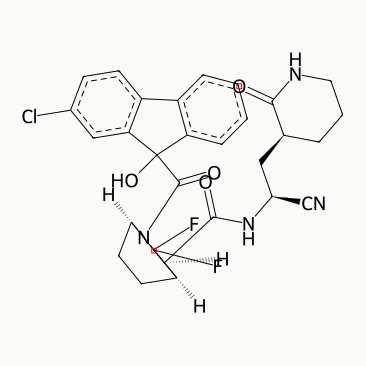 N#C[C@H](C[C@@H]1CCCNC1=O)NC(=O)[C@H]1[C@H]2CC[C@H](CC2(F)F)N1C(=O)C1(O)c2ccccc2-c2ccc(Cl)cc21